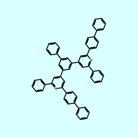 c1ccc(-c2ccc(-c3cc(-c4cc(-c5ccccc5)cc(-c5cc(-c6ccccc6)nc(-c6ccc(-c7ccccc7)cc6)c5)c4)cc(-c4ccccc4)n3)cc2)cc1